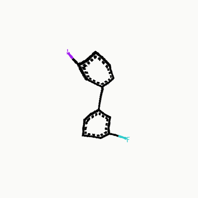 Fc1cccc(-c2cccc(I)c2)c1